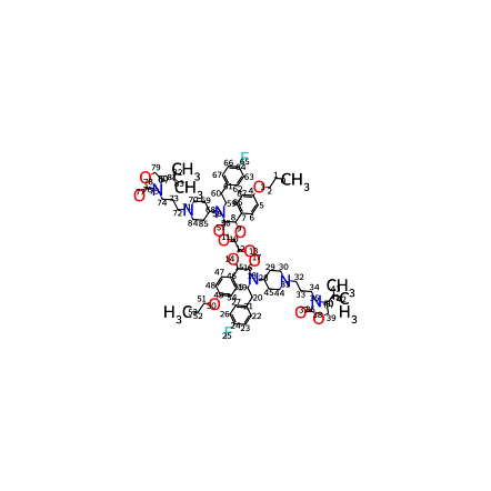 CCCOc1ccc(C(OC(=O)C(=O)OC(C(=O)N(CCc2ccc(F)cc2)C2CCN(CCCN3C(=O)OC[C@@H]3C(C)C)CC2)c2ccc(OCCC)cc2)C(=O)N(CCc2ccc(F)cc2)C2CCN(CCCN3C(=O)OC[C@@H]3C(C)C)CC2)cc1